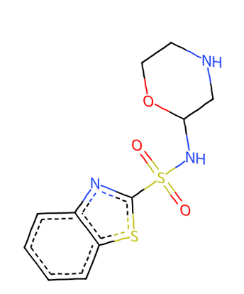 O=S(=O)(NC1CNCCO1)c1nc2ccccc2s1